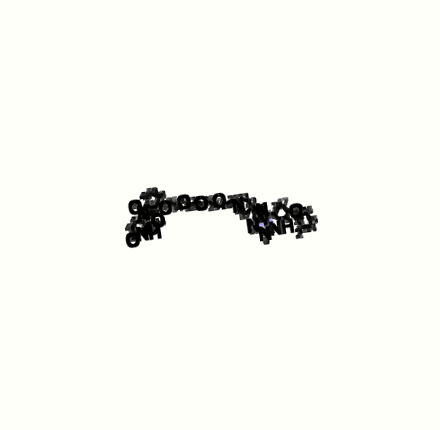 C=N/C(N)=C1/C(c2ccc(Oc3ccccc3)cc2)=NN(C2CCN(CCOCCOCCOCCOc3cccc4c3C(=O)N(C3CCC(=O)NC3=O)C4=O)CC2)/C1=N/C